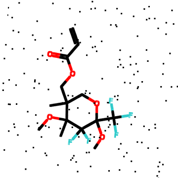 C=CC(=O)OCC1(C)COC(OC)(C(F)(F)F)C(F)(F)C1(C)OC